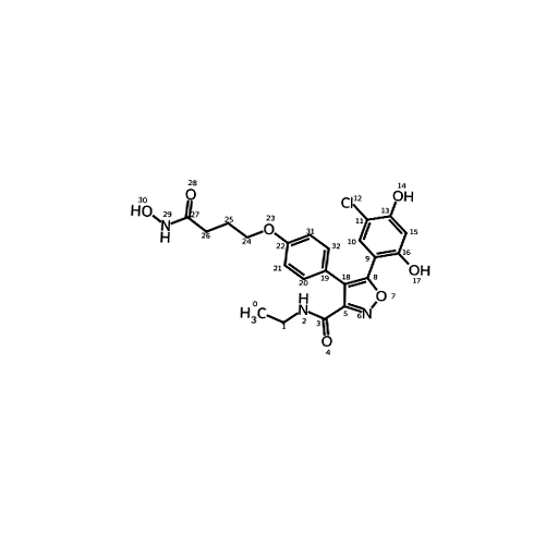 CCNC(=O)c1noc(-c2cc(Cl)c(O)cc2O)c1-c1ccc(OCCCC(=O)NO)cc1